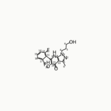 Cc1nn(CCCO)c2[nH]c(-c3c(F)cccc3F)c(O)c(=O)c12